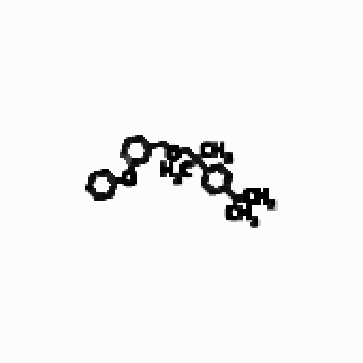 C=C(C)c1ccc(C(C)(C)COCc2cccc(Oc3ccccc3)c2)cc1